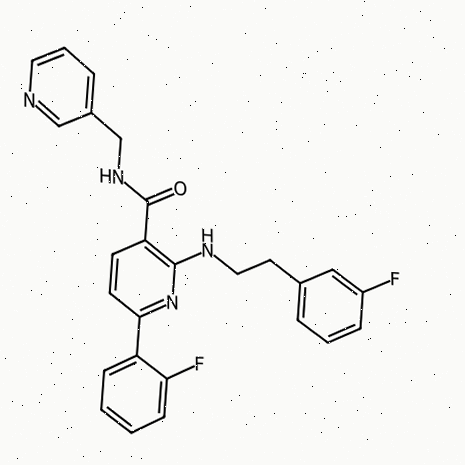 O=C(NCc1cccnc1)c1ccc(-c2ccccc2F)nc1NCCc1cccc(F)c1